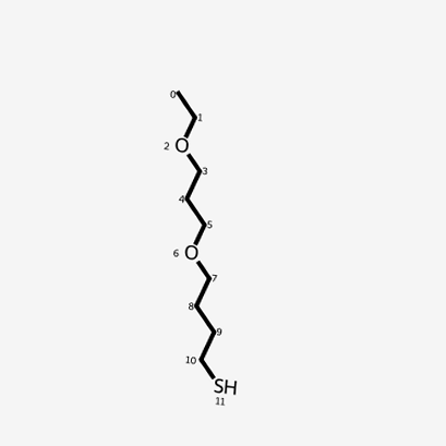 CCOCCCOCCCCS